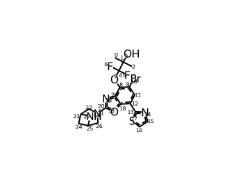 CC(C)(O)C(F)(F)Oc1c(Br)cc(-c2nccs2)c2oc(N3CC4CC(C3)N4)nc12